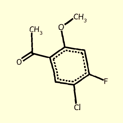 COc1cc(F)c(Cl)cc1C(C)=O